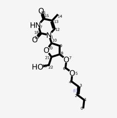 CC/C=C/COCOC1CC(n2cc(C)c(=O)[nH]c2=O)OC1CO